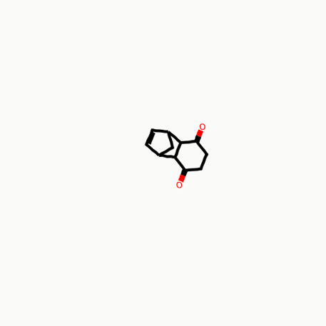 O=C1CCC(=O)C2C3C=CC(C3)C12